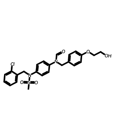 CS(=O)(=O)N(Cc1ccccc1Cl)c1ccc(N(C=O)Cc2ccc(OCCO)cc2)cc1